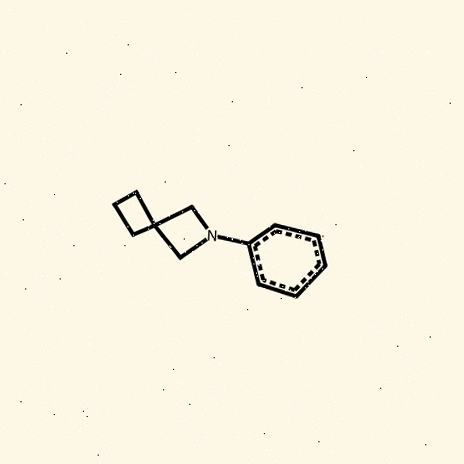 [c]1cccc(N2CC3(CCC3)C2)c1